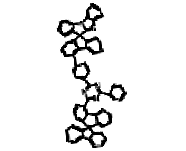 c1ccc(-c2nc(-c3ccc(-c4cccc5c4-c4ccccc4C54c5ccccc5-n5c4nc4ccccc45)cc3)nc(-c3cccc4c3-c3ccccc3C43c4ccccc4-c4ccccc43)n2)cc1